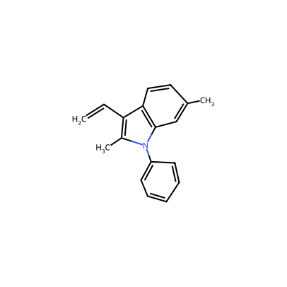 C=Cc1c(C)n(-c2ccccc2)c2cc(C)ccc12